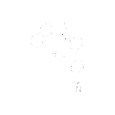 Cc1c(-c2ccc(C#N)cc2)ccc2c1N(Cc1cccc3ccccc13)C(=O)C2